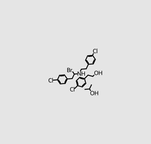 CC(C)O.Clc1ccc(CCNC(Br)Cc2ccc(Cl)cc2)cc1.OCCc1ccc(Cl)cc1